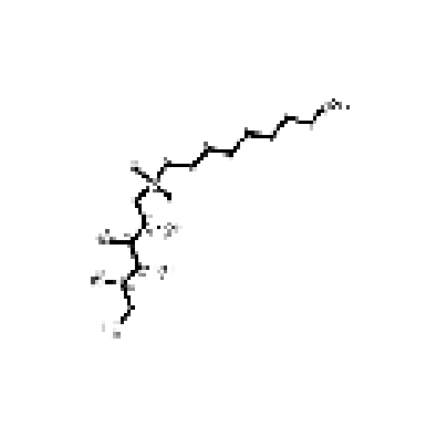 CCCCCCCCCCCCCCCCCC[N+](C)(C)C[C@H](O)C(O)[C@H](O)[C@H](O)CO